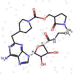 CCNC(=O)[C@H]1O[C@@H](n2cnc3c(N)nc(CC4CCN(C(=O)OCC5CCN(C)C5=O)CC4)nc32)C(O)C1O